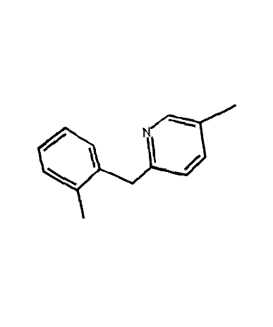 Cc1ccc(Cc2ccccc2C)nc1